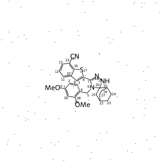 COc1ccc(CN2C(c3cc4cccc(C#N)c4s3)=NNC23CC2CCC3CC2)c(OC)c1